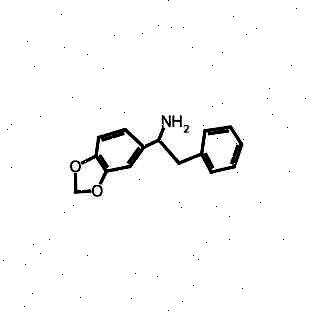 NC(Cc1ccccc1)c1ccc2c(c1)OCO2